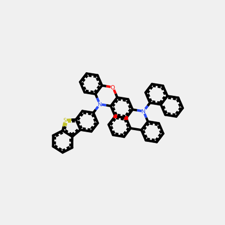 c1ccc(-c2ccccc2N(c2ccc3c(c2)Oc2ccccc2N3c2ccc3c(c2)sc2ccccc23)c2cccc3ccccc23)cc1